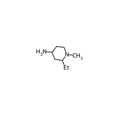 CCC1CC(N)CCN1C